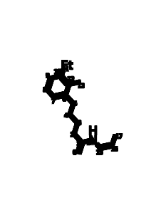 C=C(CCCCc1cccc(CC)c1C)N/C=C\C